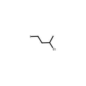 CCC(C)C[CH]I